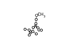 CC1C=C(c2ccc(-c3ccc(N(c4cccc(-c5cc(-c6ccccc6)cc6c5c5ccc(-c7ccccc7)cc5n6-c5ccccc5)c4)c4ccc5c(ccc6ccccc65)c4)cc3)cc2)C=CC1